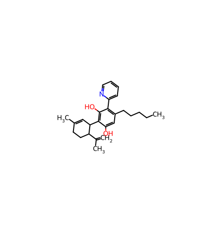 C=C(C)C1CCC(C)=CC1c1c(O)cc(CCCCC)c(-c2ccccn2)c1O